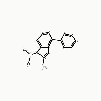 CC1=Cc2c(-c3ccccc3)cccc2[CH]1[Cr]([Cl])[Cl]